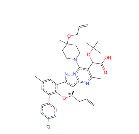 C=CCOC1(C)CCN(c2c(C(OC(C)(C)C)C(=O)O)c(C)nc3cc(-c4cc(C)cc(-c5ccc(Cl)cc5)c4O[C@@H](C)CC=C)nn23)CC1